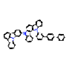 c1ccc(-c2ccc(-c3cccc(-n4c5ccccc5c5ccc6c(c7ccccc7n6-c6ccc7c8cccc9c%10ccccc%10n(c7c6)c98)c54)c3)cc2)cc1